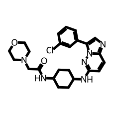 O=C(CN1CCOCC1)NC1CCC(Nc2ccc3ncc(-c4cccc(Cl)c4)n3n2)CC1